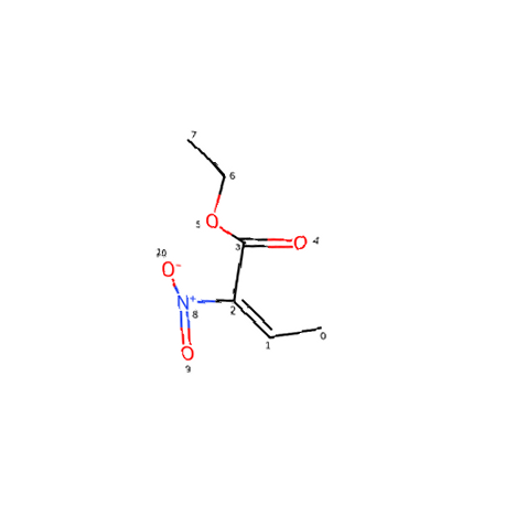 C/C=C(\C(=O)OCC)[N+](=O)[O-]